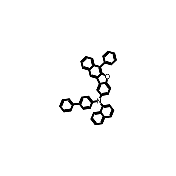 c1ccc(-c2ccc(N(c3ccc4oc5c(-c6ccccc6)c6ccccc6cc5c4c3)c3cccc4ccccc34)cc2)cc1